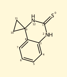 S=C1Nc2ccccc2C2(CC2)N1